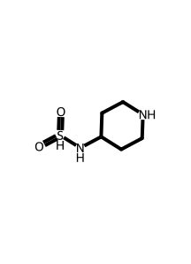 O=[SH](=O)NC1CCNCC1